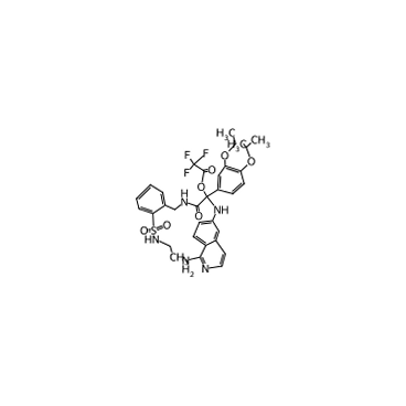 CCNS(=O)(=O)c1ccccc1CNC(=O)C(Nc1ccc2c(N)nccc2c1)(OC(=O)C(F)(F)F)c1ccc(OC(C)C)c(OCC)c1